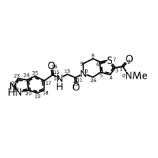 CNC(=O)c1cc2c(s1)CCN(C(=O)CNC(=O)c1ccc3[nH]ncc3c1)C2